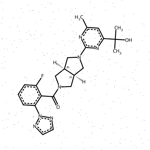 Cc1cc(C(C)(C)O)nc(N2C[C@H]3CN(C(=O)c4c(F)cccc4-n4nccn4)C[C@H]3C2)n1